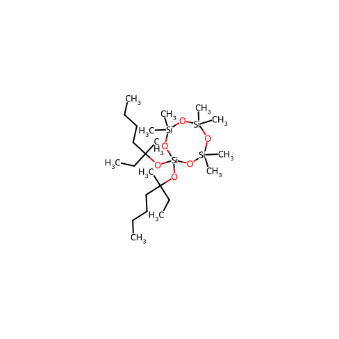 CCCCC(C)(CC)O[Si]1(OC(C)(CC)CCCC)O[Si](C)(C)O[Si](C)(C)O[Si](C)(C)O1